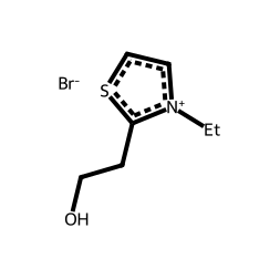 CC[n+]1ccsc1CCO.[Br-]